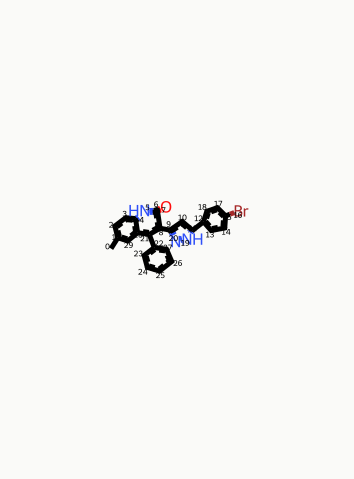 Cc1ccc2[nH]c(=O)c(-c3cc(-c4ccc(Br)cc4)[nH]n3)c(-c3ccccc3)c2c1